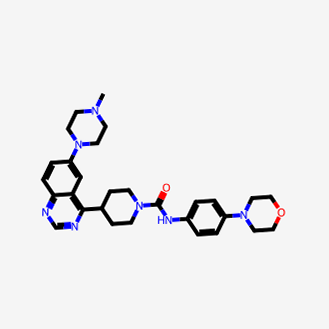 CN1CCN(c2ccc3ncnc(C4CCN(C(=O)Nc5ccc(N6CCOCC6)cc5)CC4)c3c2)CC1